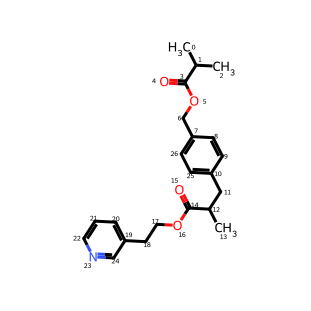 CC(C)C(=O)OCc1ccc(CC(C)C(=O)OCCc2cccnc2)cc1